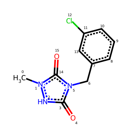 Cn1[nH]c(=O)n(Cc2cccc(Cl)c2)c1=O